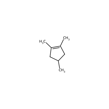 CC1=C(C)CC(C)C1